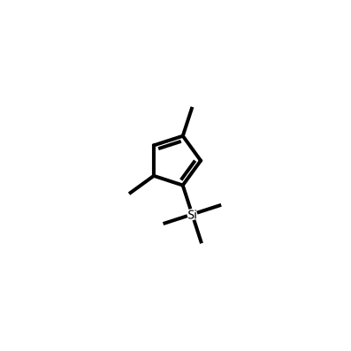 CC1=CC(C)C([Si](C)(C)C)=C1